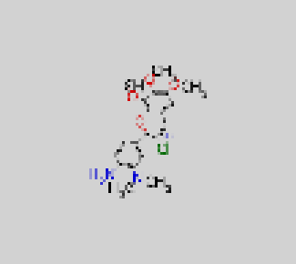 COc1cc(/C=C(/Cl)C(=O)c2ccc(N)c(N(C)C)c2)cc(OC)c1OC